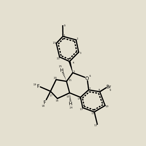 Cc1ccc([C@H]2Oc3c(Br)cc(C)cc3[C@H]3CC(F)(F)C[C@H]32)cc1